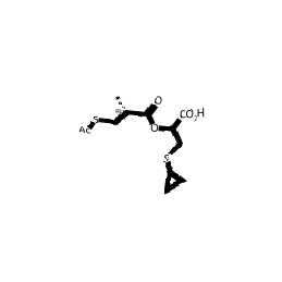 CC(=O)SC[C@H](C)C(=O)OC(CSC1CC1)C(=O)O